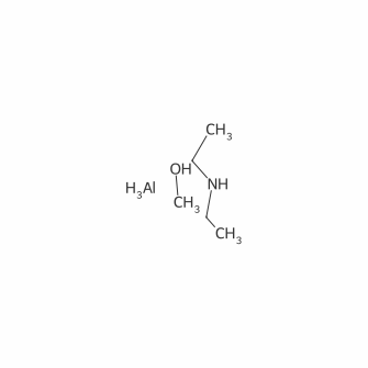 CCNCC.CO.[AlH3]